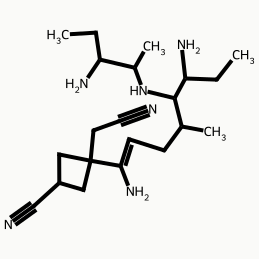 CCC(N)C(C)NC(C(C)C/C=C(\N)C1(CC#N)CC(C#N)C1)C(N)CC